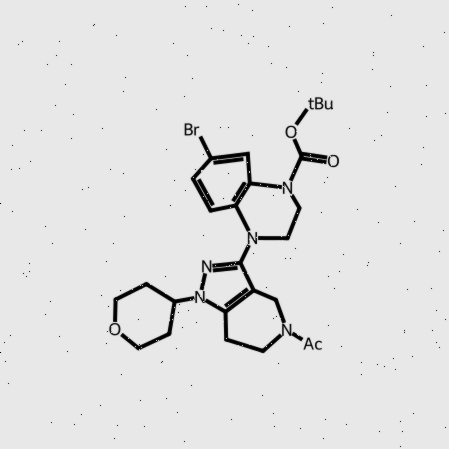 CC(=O)N1CCc2c(c(N3CCN(C(=O)OC(C)(C)C)c4cc(Br)ccc43)nn2C2CCOCC2)C1